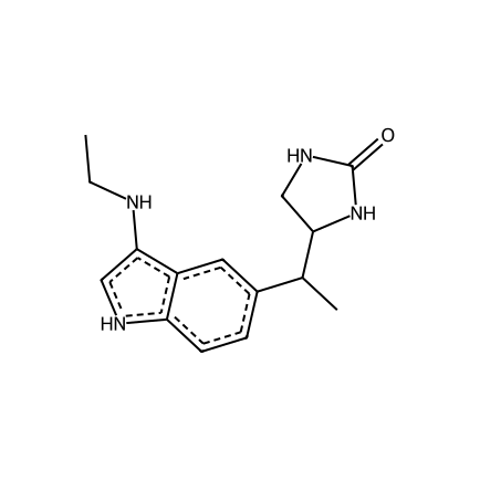 CCNc1c[nH]c2ccc(C(C)C3CNC(=O)N3)cc12